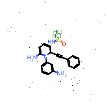 Cl.Cl.N=S=O.NC1=CC=CC(C#Cc2ccccc2)N1c1cccc(N)c1